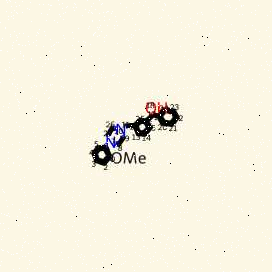 COc1ccccc1N1CCN(Cc2cccc(C(O)c3ccccc3)c2)CC1